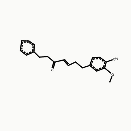 COc1cc(CC/C=C/C(=O)CCc2ccccc2)ccc1O